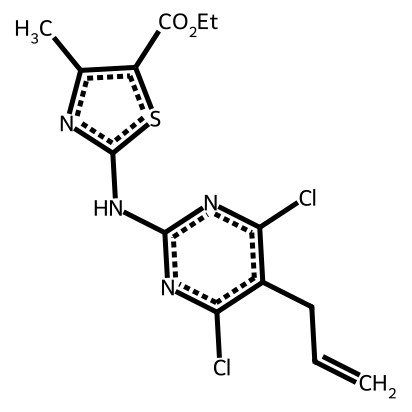 C=CCc1c(Cl)nc(Nc2nc(C)c(C(=O)OCC)s2)nc1Cl